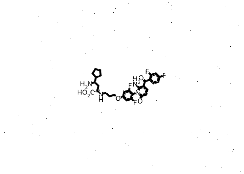 Nc1c(C(=O)c2ccc(F)cc2F)ccc(=O)n1-c1c(F)cc(OCCCN[C@@H](CC(N)C2CCCC2)C(=O)O)cc1F